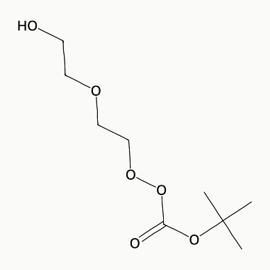 CC(C)(C)OC(=O)OOCCOCCO